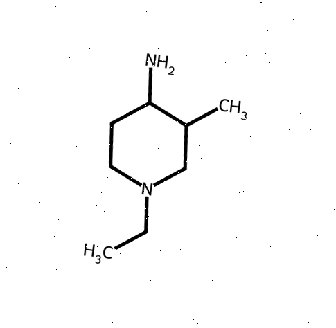 CCN1CCC(N)C(C)C1